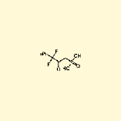 CCCC(F)(F)C(=O)CP(=O)(O)O